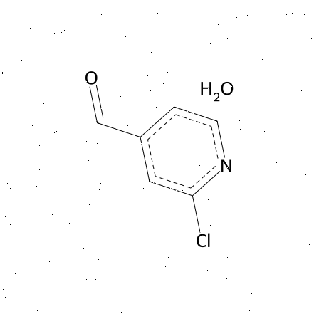 O.O=Cc1ccnc(Cl)c1